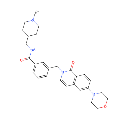 CC(C)N1CCC(CNC(=O)c2cccc(Cn3ccc4cc(N5CCOCC5)ccc4c3=O)c2)CC1